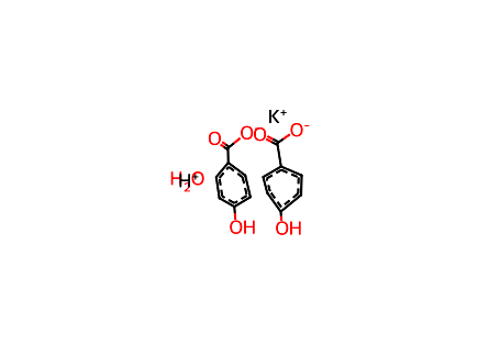 O.O=C([O-])c1ccc(O)cc1.O=C([O-])c1ccc(O)cc1.[H+].[K+]